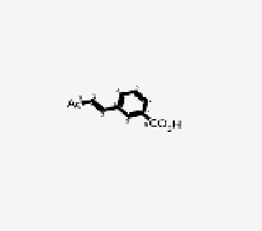 CC(=O)/C=C/c1cccc(C(=O)O)c1